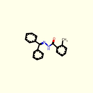 Cc1ccccc1C(=O)NN=C(c1ccccc1)c1ccccc1